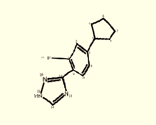 Fc1cc(C2CCCC2)ccc1-c1nc[nH]n1